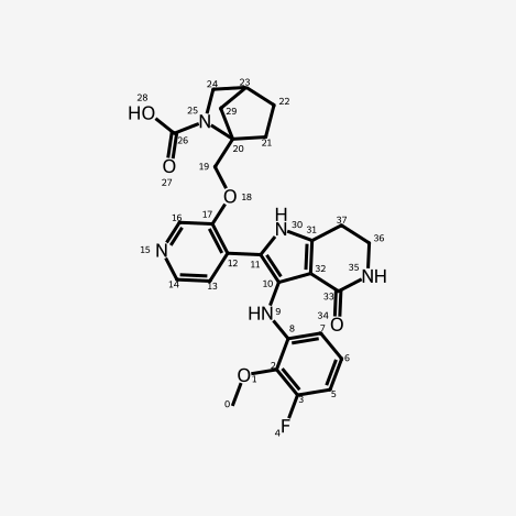 COc1c(F)cccc1Nc1c(-c2ccncc2OCC23CCC(CN2C(=O)O)C3)[nH]c2c1C(=O)NCC2